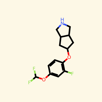 Fc1cc(OC(F)F)ccc1OC1CC2CNCC2C1